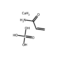 C=CC(N)=O.O=P(O)(O)O.[CaH2]